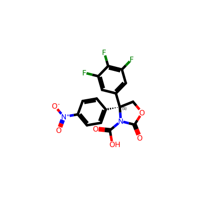 O=C(O)N1C(=O)OC[C@]1(c1ccc([N+](=O)[O-])cc1)c1cc(F)c(F)c(F)c1